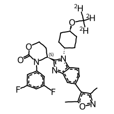 [2H]C([2H])([2H])O[C@H]1CC[C@H](n2c([C@@H]3CCOC(=O)N3c3cc(F)cc(F)c3)nc3cc(-c4c(C)noc4C)ccc32)CC1